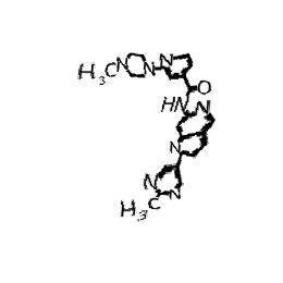 Cc1ncc(-c2ccc3cnc(NC(=O)c4ccnc(N5CCN(C)CC5)c4)cc3n2)cn1